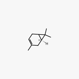 CC1=CCC2[C@H](C1)C2(C)C